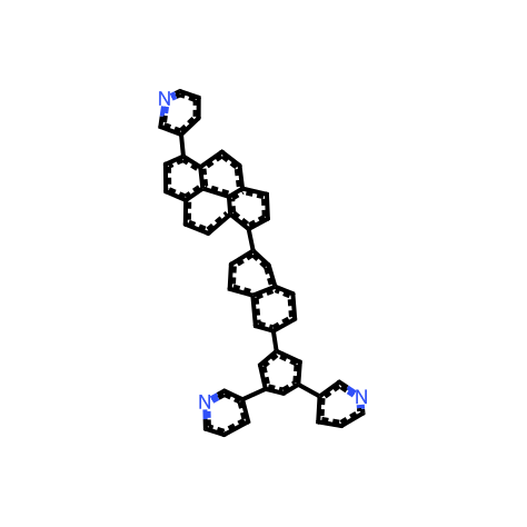 c1cncc(-c2cc(-c3cccnc3)cc(-c3ccc4cc(-c5ccc6ccc7c(-c8cccnc8)ccc8ccc5c6c87)ccc4c3)c2)c1